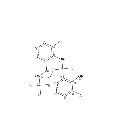 CCC(C)(Pc1c(C)cccc1CNC(C)(C)C)c1cccc(C)c1O